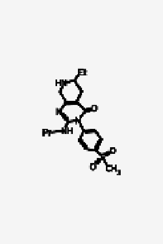 CCC1Cc2c(nc(NC(C)C)n(-c3ccc(S(C)(=O)=O)cc3)c2=O)CN1